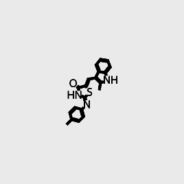 Cc1ccc(/N=C2\NC(=O)/C(=C/c3c(C)[nH]c4ccccc34)S2)cc1